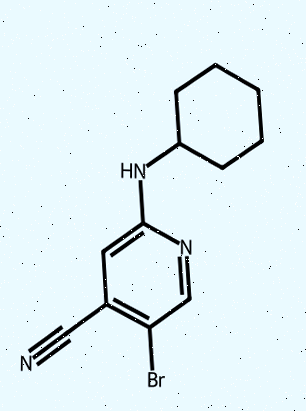 N#Cc1cc(NC2CCCCC2)ncc1Br